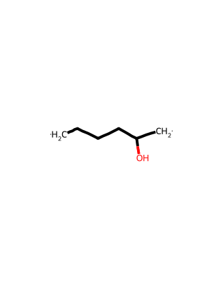 [CH2]CCCC([CH2])O